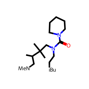 CCC(C)CCN(CC(C)(C)C(C)CNC)C(=O)N1CCCCC1